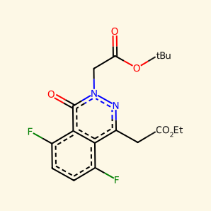 CCOC(=O)Cc1nn(CC(=O)OC(C)(C)C)c(=O)c2c(F)ccc(F)c12